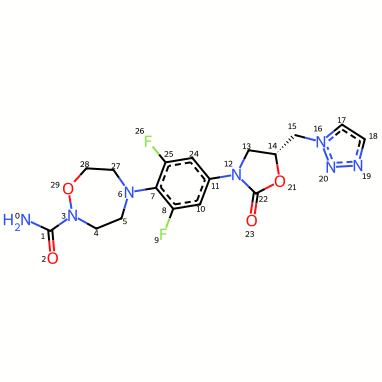 NC(=O)N1CCN(c2c(F)cc(N3C[C@H](Cn4ccnn4)OC3=O)cc2F)CCO1